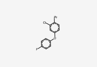 CC(C)c1ccc(Oc2ccc(F)cc2)cc1Cl